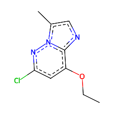 CCOc1cc(Cl)nn2c(C)cnc12